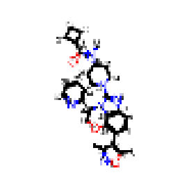 Cc1noc(C)c1-c1ccc2nc(N3CCC(N(C)C(=O)C4CCC4)CC3)n3c2c1OC[C@@H]3c1ccccn1